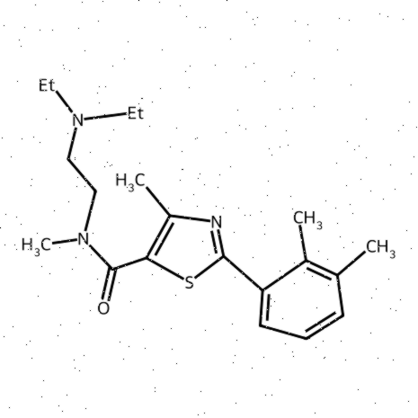 CCN(CC)CCN(C)C(=O)c1sc(-c2cccc(C)c2C)nc1C